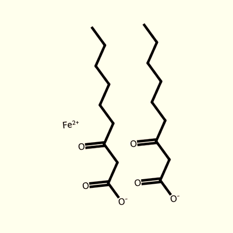 CCCCCCC(=O)CC(=O)[O-].CCCCCCC(=O)CC(=O)[O-].[Fe+2]